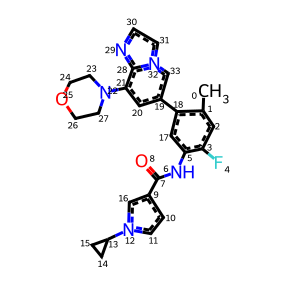 Cc1cc(F)c(NC(=O)c2ccn(C3CC3)c2)cc1-c1cc(N2CCOCC2)c2nccn2c1